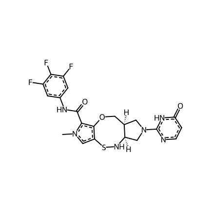 Cn1cc2c(c1C(=O)Nc1cc(F)c(F)c(F)c1)OC[C@H]1CN(c3nccc(=O)[nH]3)C[C@H]1NS2